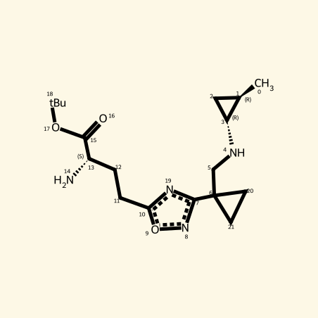 C[C@@H]1C[C@H]1NCC1(c2noc(CC[C@H](N)C(=O)OC(C)(C)C)n2)CC1